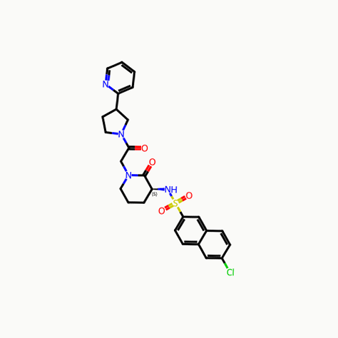 O=C(CN1CCC[C@H](NS(=O)(=O)c2ccc3cc(Cl)ccc3c2)C1=O)N1CCC(c2ccccn2)C1